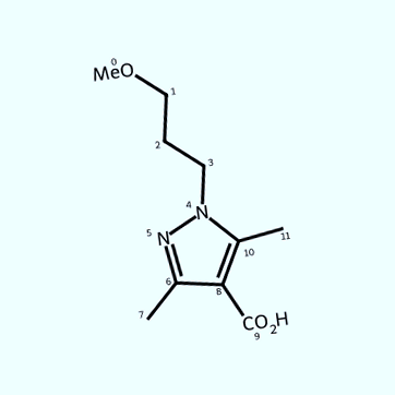 COCCCn1nc(C)c(C(=O)O)c1C